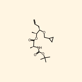 C=CC[C@@H](OCC1CC1)[C@H](C)OC(=O)[C@H](C)NC(=O)OC(C)(C)C